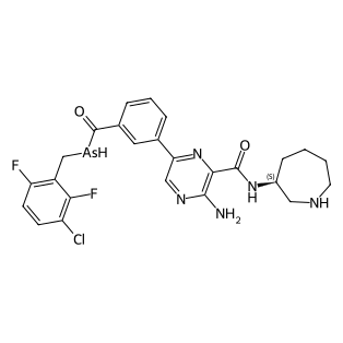 Nc1ncc(-c2cccc(C(=O)[AsH]Cc3c(F)ccc(Cl)c3F)c2)nc1C(=O)N[C@H]1CCCCNC1